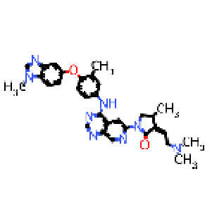 Cc1cc(Nc2ncnc3cnc(N4CC(C)C(=CCN(C)C)C4=O)cc23)ccc1Oc1ccc2c(c1)ncn2C